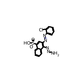 NN=Nc1c(/N=N/c2ccccc2Cl)cc(S(=O)(=O)O)c2ccccc12